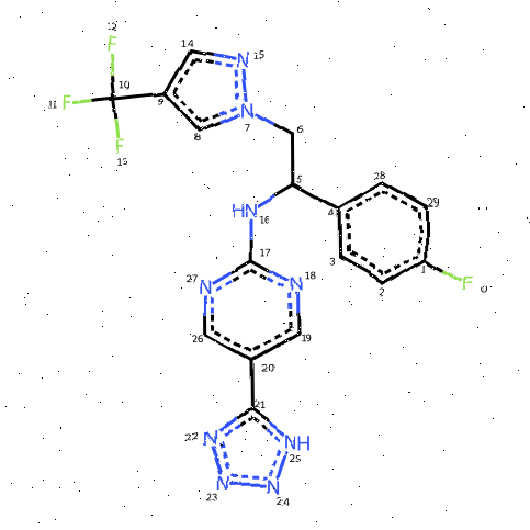 Fc1ccc(C(Cn2cc(C(F)(F)F)cn2)Nc2ncc(-c3nnn[nH]3)cn2)cc1